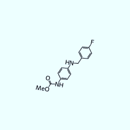 COC(=O)Nc1ccc(NCc2ccc(F)cc2)cc1